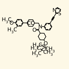 COc1ccc(C23CCC(CN(C(=O)C4CCC(O[Si](C)(C)C(C)(C)C)CC4)c4cccc(C#Cc5nccs5)c4)(CC2)CC3)cc1C